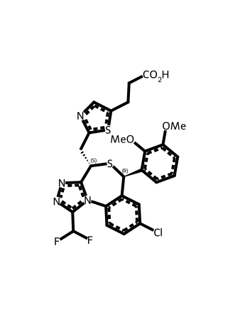 COc1cccc([C@@H]2S[C@@H](Cc3ncc(CCC(=O)O)s3)c3nnc(C(F)F)n3-c3ccc(Cl)cc32)c1OC